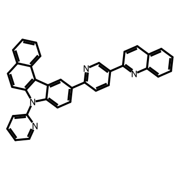 c1ccc(-n2c3ccc(-c4ccc(-c5ccc6ccccc6n5)cn4)cc3c3c4ccccc4ccc32)nc1